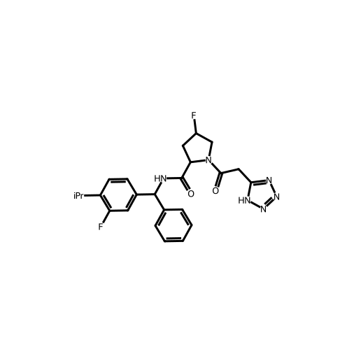 CC(C)c1ccc(C(NC(=O)C2CC(F)CN2C(=O)Cc2nnn[nH]2)c2ccccc2)cc1F